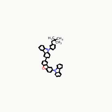 CC(C)(C)Cc1cccc(-n2c3ccccc3c3cc(-c4ccc5oc6ccc(-n7c8ccccc8c8ccccc87)cc6c5c4)ccc32)c1